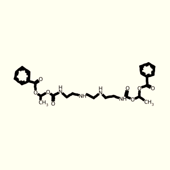 CC(OC(=O)NCCNCCNCCNC(=O)OC(C)OC(=O)c1ccccc1)OC(=O)c1ccccc1